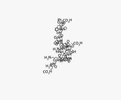 CC(C)[C@H](NC(=O)[C@H](Cc1ccccc1)NC(=O)[C@@H]1CCCN1C(=O)CNC(=O)CNC(=O)[C@H](CO)NC(=O)[C@H](CC(=O)O)NC(=O)CNC(=O)[C@H](CCC(=O)O)NC(=O)[C@H](CS)NC(=O)[C@H](C)NC(=O)[C@H](CC(=O)O)NC(=O)CNC(=O)[C@H](CCCNC(=N)N)NC(=O)[C@H](CCCCN)NC(=O)CNC(=O)[C@@H](N)CCC(=O)O)C(=O)O